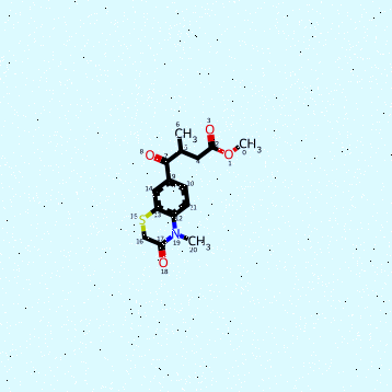 COC(=O)CC(C)C(=O)c1ccc2c(c1)SCC(=O)N2C